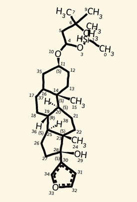 C[SiH](C)OC(CC(C)(C)C)O[C@H]1CC[C@@]2(C)C(CC[C@@H]3[C@@H]2CC[C@@]2(C)[C@H]3CC[C@@]2(O)c2ccoc2)C1